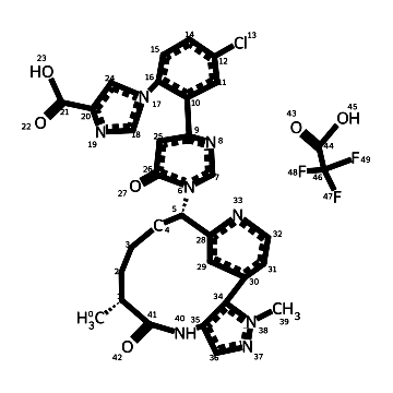 C[C@@H]1CCC[C@H](n2cnc(-c3cc(Cl)ccc3-n3cnc(C(=O)O)c3)cc2=O)c2cc(ccn2)-c2c(cnn2C)NC1=O.O=C(O)C(F)(F)F